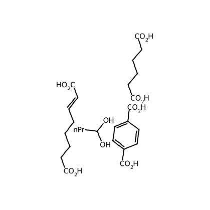 CCCC(O)O.O=C(O)C=CCCCCC(=O)O.O=C(O)CCCCC(=O)O.O=C(O)c1ccc(C(=O)O)cc1